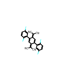 N#CC(C#N)=c1cc(-c2cc(F)ccc2F)c(=C(C#N)C#N)cc1-c1cc(F)ccc1F